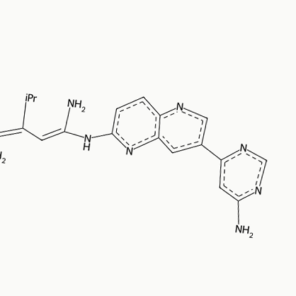 CC(C)C(=C/N)/C=C(\N)Nc1ccc2ncc(-c3cc(N)ncn3)cc2n1